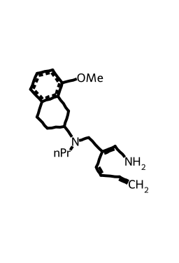 C=C/C=C\C(=C/N)CN(CCC)C1CCc2cccc(OC)c2C1